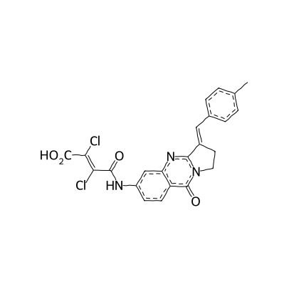 Cc1ccc(C=C2CCn3c2nc2cc(NC(=O)C(Cl)=C(Cl)C(=O)O)ccc2c3=O)cc1